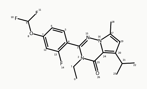 CCn1c(-c2ccc(OC(F)F)cc2F)nn2c(C)cc(C(C)C)c2c1=O